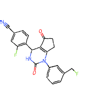 N#Cc1ccc(C2NC(=O)N(c3cccc(CF)c3)C3=C2C(=O)CC3)c(F)c1